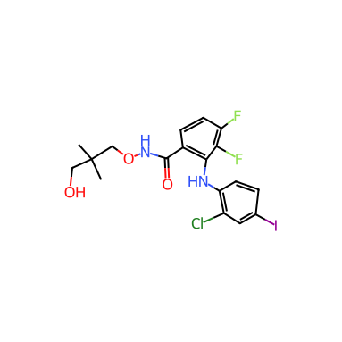 CC(C)(CO)CONC(=O)c1ccc(F)c(F)c1Nc1ccc(I)cc1Cl